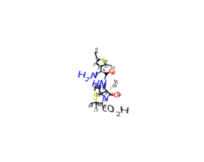 Cc1cc(C(N)C(=O)N[C@@]2(C)C(=O)N3[C@@H](C(=O)O)C(C)(C)S[C@@H]32)c(C)s1